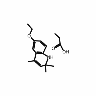 CCC(=O)O.CCOc1ccc2c(c1)C(C)=CC(C)(C)N2